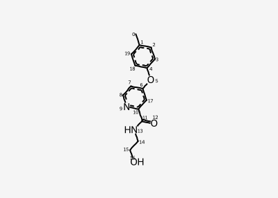 Cc1ccc(Oc2ccnc(C(=O)NCCO)c2)cc1